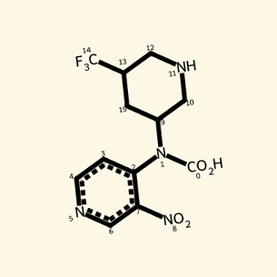 O=C(O)N(c1ccncc1[N+](=O)[O-])C1CNCC(C(F)(F)F)C1